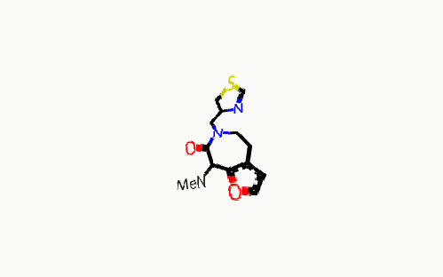 CNC1C(=O)N(CC2CSC=N2)CCc2ccoc21